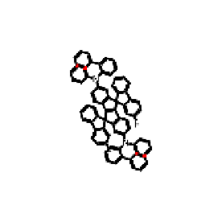 Fc1ccc2c(c1)C1(C3=C(c4ccc(N(c5ccccc5)c5ccccc5-c5ccccc5)cc41)C1(c4cc(N(c5ccccc5)c5ccccc5-c5ccccc5)ccc43)c3ccccc3-c3ccc(F)cc31)c1ccccc1-2